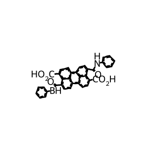 O=C(O)c1ccc2c3ccc(C(=O)Nc4ccccc4)c4c(C(=O)O)ccc(c5ccc(C(=O)Bc6ccccc6)c1c52)c43